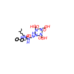 CCC(C)CCCCNC(=O)[C@@H](Cc1ccc(-c2ccccc2)cc1)NC(=O)CNCN1CCN(CC(=O)O)CCN(CC(=O)O)CCN(CC(=O)O)CC1